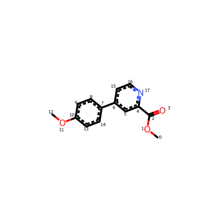 COC(=O)c1cc(-c2ccc(OC)cc2)ccn1